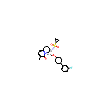 Cc1ccc2n(c1=O)[C@@H](COC1CCC(c3cccc(F)c3)CC1)[C@@H](NS(=O)(=O)C1CC1)CC2